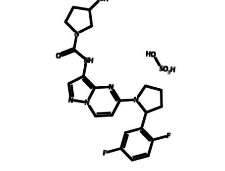 O=C(Nc1cnn2ccc(N3CCCC3c3cc(F)ccc3F)nc12)N1CCC(O)C1.O=S(=O)(O)O